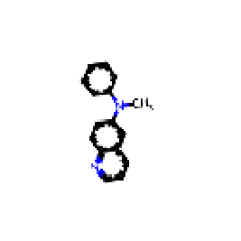 CN(c1ccccc1)c1ccc2ncccc2c1